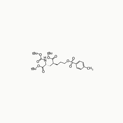 Cc1ccc(S(=O)(=O)OCCC[C@@H](C[C@@H](NC(=O)OC(C)(C)C)C(=O)OC(C)(C)C)C(=O)OC(C)(C)C)cc1